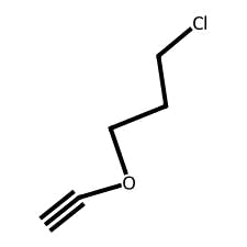 C#COCCCCl